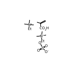 C=C(C)C(=O)O.CC[N+](C)(C)C.CC[N+](C)(C)C.O=S(=O)([O-])[O-]